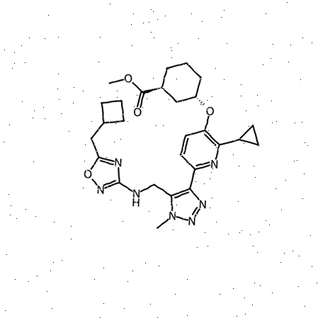 COC(=O)[C@H]1CCC[C@H](Oc2ccc(-c3nnn(C)c3CNc3noc(CC4CCC4)n3)nc2C2CC2)C1